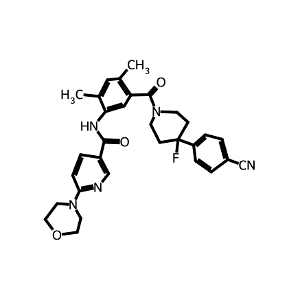 Cc1cc(C)c(C(=O)N2CCC(F)(c3ccc(C#N)cc3)CC2)cc1NC(=O)c1ccc(N2CCOCC2)nc1